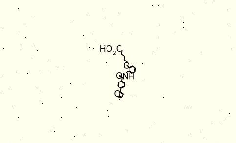 O=C(O)CCCCCOc1ccccc1CNC(=O)c1ccc(-c2ccco2)cc1